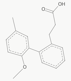 COc1ccc(C)cc1-c1ccccc1CCC(=O)O